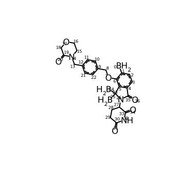 Bc1ccc2c(c1OCc1ccc(CN3CCOCC3=O)cc1)C(B)(B)N(C1CCC(=O)NC1=O)C2=O